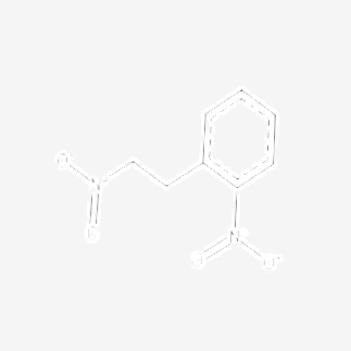 O=[N+]([O-])CCc1ccccc1[N+](=O)[O-]